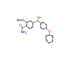 COc1cc(C(S)c2ccc(Oc3ccccc3)cc2)ccc1C(N)=O